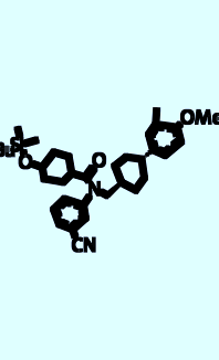 COc1ccc([C@H]2CC[C@H](CN(C(=O)C3CCC(O[Si](C)(C)C(C)(C)C)CC3)c3cccc(C#N)c3)CC2)cc1C